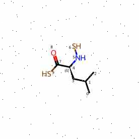 CC(C)C[C@H](NS)C(=O)S